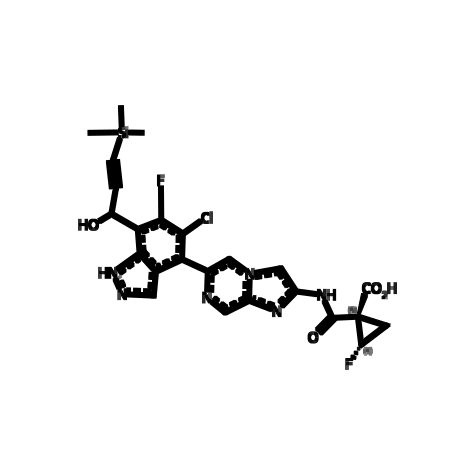 C[Si](C)(C)C#CC(O)c1c(F)c(Cl)c(-c2cn3cc(NC(=O)[C@]4(C(=O)O)C[C@@H]4F)nc3cn2)c2cn[nH]c12